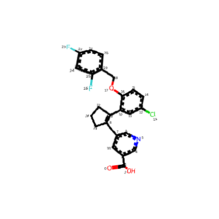 O=C(O)c1cncc(C2=C(c3cc(Cl)ccc3OCc3ccc(F)cc3F)CCC2)c1